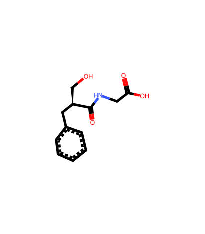 O=C(O)CNC(=O)[C@H](CO)Cc1ccccc1